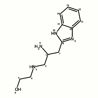 NC(CNCCO)Cc1nc2ccccc2[nH]1